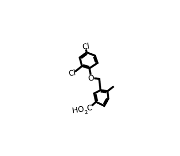 Cc1ccc(C(=O)O)cc1COc1ccc(Cl)cc1Cl